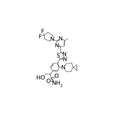 Cc1cc(-c2nnc(-c3ccc(C(CO)S(N)(=O)=O)cc3N3CCC4(CC3)CC4)s2)nc(N2CCC(F)(F)CC2)n1